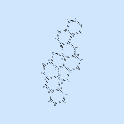 c1ccc2c(c1)ccc1c2cc2ccc3cc4c5ccccc5cc5ccc6cc1c2c3c6c54